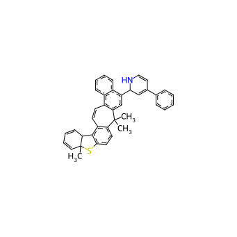 CC1(C)c2ccc3c(c2C=Cc2c1cc(C1C=C(c4ccccc4)C=CN1)c1ccccc21)C1C=CC=CC1(C)S3